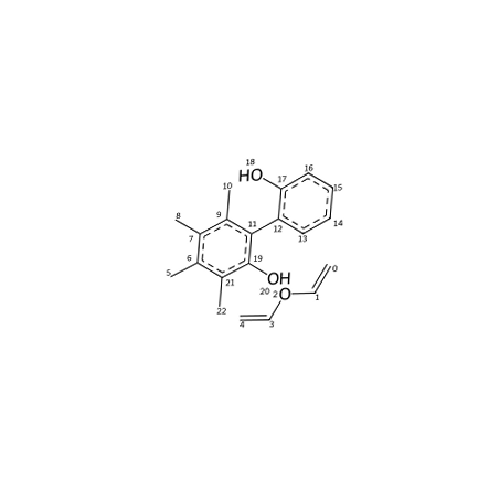 C=COC=C.Cc1c(C)c(C)c(-c2ccccc2O)c(O)c1C